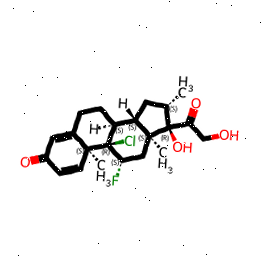 C[C@H]1C[C@H]2[C@@H]3CCC4=CC(=O)C=C[C@]4(C)[C@@]3(Cl)[C@@H](F)C[C@]2(C)[C@@]1(O)C(=O)CO